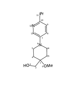 COC1(CO)CCN(c2ccc(C(C)C)nc2)CC1